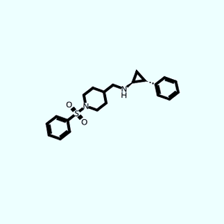 O=S(=O)(c1ccccc1)N1CCC(CN[C@H]2C[C@@H]2c2ccccc2)CC1